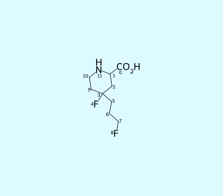 O=C(O)C1CC(F)(CCCF)CCN1